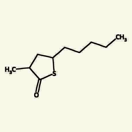 CCCCCC1CC(C)C(=O)S1